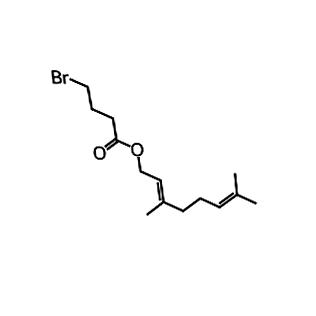 CC(C)=CCCC(C)=CCOC(=O)CCCBr